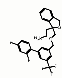 NCCC1(COCc2cc(-c3ccc(F)cc3F)cc(C(F)(F)F)c2)OCc2ccccc21